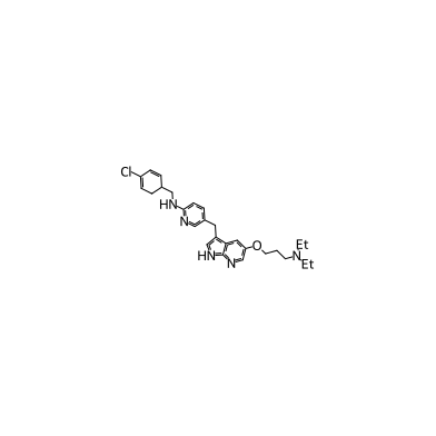 CCN(CC)CCCOc1cnc2[nH]cc(Cc3ccc(NCC4C=CC(Cl)=CC4)nc3)c2c1